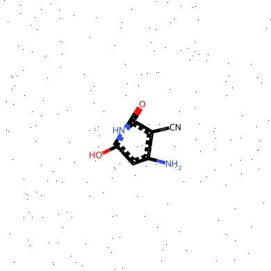 N#Cc1c(N)cc(O)[nH]c1=O